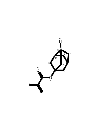 C=C(C)C(=O)OC12CC3CC(C1)[C@H](C3)C2